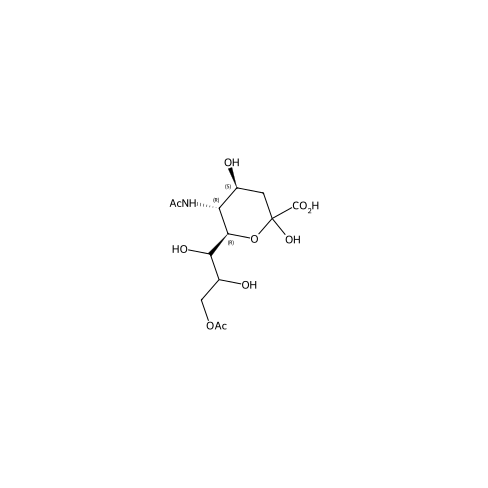 CC(=O)N[C@@H]1[C@@H](O)CC(O)(C(=O)O)O[C@H]1C(O)C(O)COC(C)=O